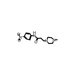 CN1CCN(CCC(=O)Nc2ccc([N+](=O)[O-])cc2)CC1